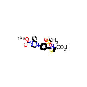 CC(C)C1CN(c2ccc(-c3nc(C(=O)O)cs3)c(S(C)(=O)=O)c2)CCN1C(=O)OC(C)(C)C